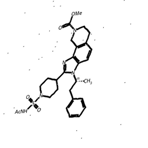 COC(=O)N1CCc2ccc3c(nc(C4CCN(S(=O)(=O)NC(C)=O)CC4)n3[C@H](C)Cc3ccccc3)c2C1